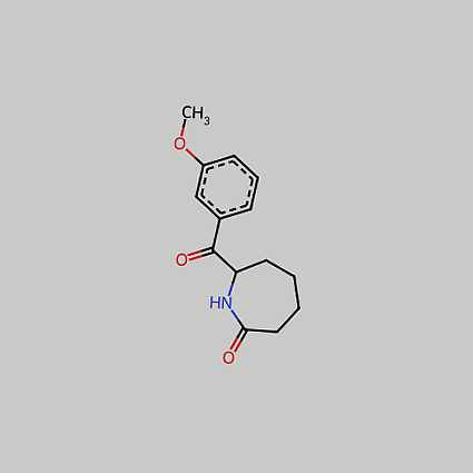 COc1cccc(C(=O)C2CCCCC(=O)N2)c1